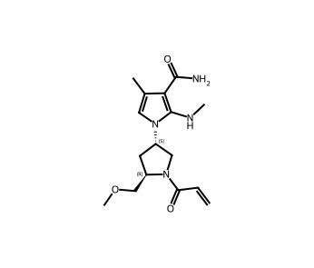 C=CC(=O)N1C[C@@H](n2cc(C)c(C(N)=O)c2NC)C[C@@H]1COC